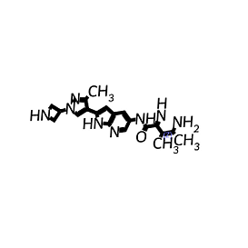 C/C(N)=C(\C)C(=N)C(=O)Nc1cnc2[nH]c(-c3cn(C4CNC4)nc3C)cc2c1